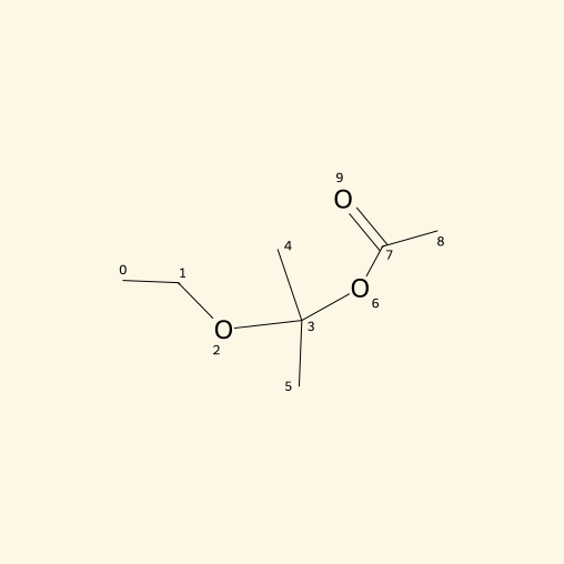 CCOC(C)(C)OC(C)=O